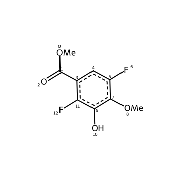 COC(=O)c1cc(F)c(OC)c(O)c1F